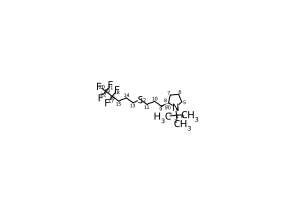 CC(C)(C)N1CCC[C@@H]1CCCSCCCC(F)(F)C(F)(F)F